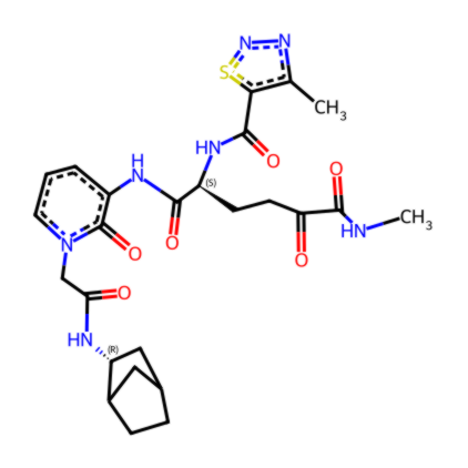 CNC(=O)C(=O)CC[C@H](NC(=O)c1snnc1C)C(=O)Nc1cccn(CC(=O)N[C@@H]2CC3CCC2C3)c1=O